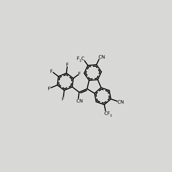 N#CC(=C1c2cc(C(F)(F)F)c(C#N)cc2-c2cc(C#N)c(C(F)(F)F)cc21)c1c(F)c(F)c(F)c(F)c1F